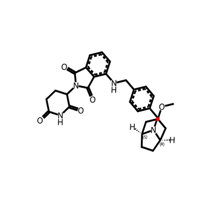 COC1C[C@H]2CC[C@@H](C1)N2Cc1ccc(CNc2cccc3c2C(=O)N(C2CCC(=O)NC2=O)C3=O)cc1